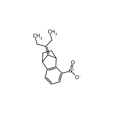 CCC(CC)=C1C2CCC1c1c2cccc1[N+](=O)[O-]